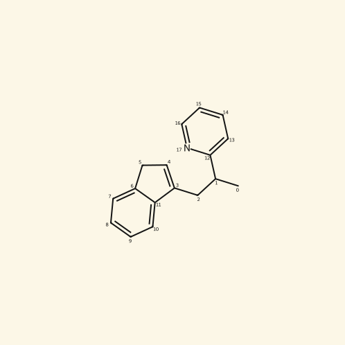 CC(CC1=CCc2ccccc21)c1ccccn1